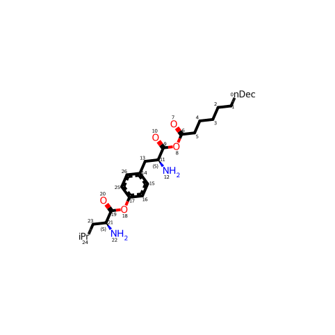 CCCCCCCCCCCCCCCC(=O)OC(=O)[C@@H](N)Cc1ccc(OC(=O)[C@@H](N)CC(C)C)cc1